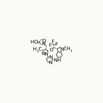 Cc1nn(-c2ccnc(Nc3ccc4c(c3)c(C(=O)C(F)(F)F)cn4C)n2)cc1CN1C[C@H](O)CO1